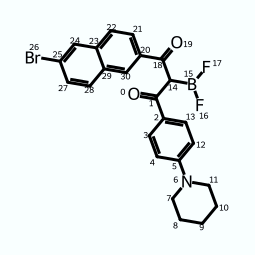 O=C(c1ccc(N2CCCCC2)cc1)C(B(F)F)C(=O)c1ccc2cc(Br)ccc2c1